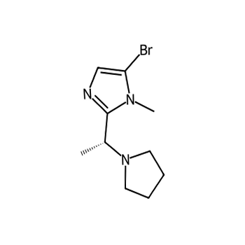 C[C@H](c1ncc(Br)n1C)N1CCCC1